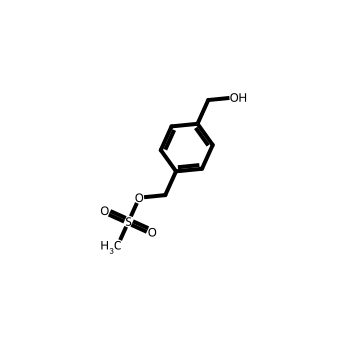 CS(=O)(=O)OCc1ccc(CO)cc1